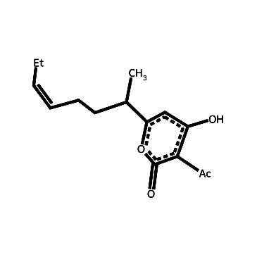 CC/C=C\CCC(C)c1cc(O)c(C(C)=O)c(=O)o1